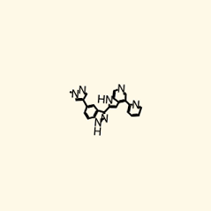 Cn1cc(-c2ccc3[nH]nc(-c4cc5c(-c6ccccn6)cncc5[nH]4)c3c2)cn1